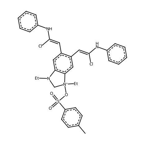 CCN1C[N+](CC)(OS(=O)(=O)c2ccc(C)cc2)c2cc(C=C(Cl)Nc3ccccc3)c(C=C(Cl)Nc3ccccc3)cc21